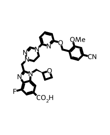 COc1cc(C#N)ccc1COc1cccc(N2C=NN(Cc3nc4c(F)cc(C(=O)O)cc4n3C[C@@H]3CCO3)CC2)n1